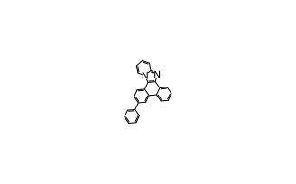 c1ccc(-c2ccc3c(c2)c2ccccc2c2nc4ccccn4c32)cc1